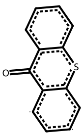 O=c1c2[c]c[c]cc2sc2ccccc12